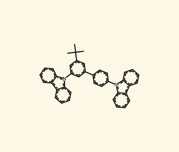 CC(C)(C)c1cc(-c2ccc(-n3c4ccccc4c4ccccc43)cc2)cc(-n2c3ccccc3c3ccccc32)c1